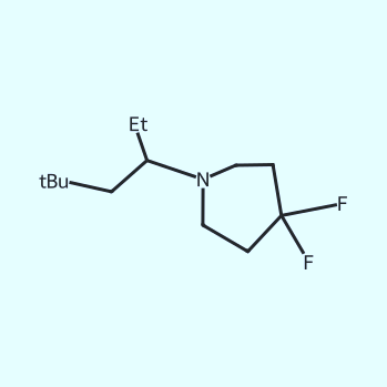 CCC(CC(C)(C)C)N1CCC(F)(F)CC1